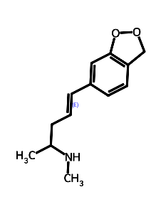 CNC(C)C/C=C/c1ccc2c(c1)OOC2